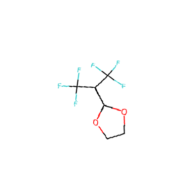 FC(F)(F)C(C1OCCO1)C(F)(F)F